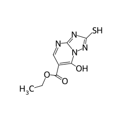 CCOC(=O)c1cnc2nc(S)nn2c1O